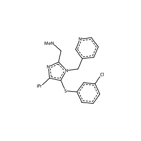 CNCc1nc(C(C)C)c(Sc2cccc(Cl)c2)n1Cc1cccnc1